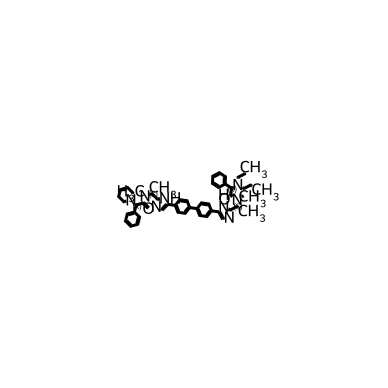 CCCN(CCC)[C@@H](C(=O)N(C)[C@@H](C)c1ncc(-c2ccc(-c3ccc(-c4cnc([C@H](C)N(C)C(=O)[C@@H](c5ccccc5)N5CCCCC5)[nH]4)cc3)cc2)[nH]1)c1ccccc1